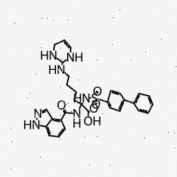 O=C(NC(CCCCNC1NC=CCN1)(NS(=O)(=O)c1ccc(-c2ccccc2)cc1)C(=O)O)c1cccc2[nH]ncc12